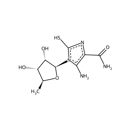 C[C@@H]1O[C@H](n2c(S)nc(C(N)=O)c2N)[C@@H](O)[C@H]1O